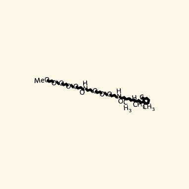 C=C1CCCC(C)=C1/C=C/C(C)=C/C=C/C(C)=C/C(=O)NCCCOCCOCCOCCCNC(=O)CCOCCOCCOCCOCCOC